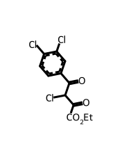 CCOC(=O)C(=O)C(Cl)C(=O)c1ccc(Cl)c(Cl)c1